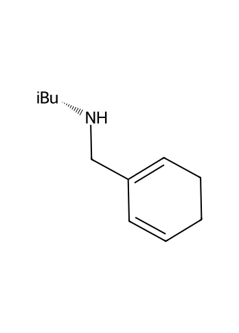 CC[C@@H](C)NCC1=CCCC=C1